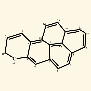 C1=Cc2c(cc3ccc4cccc5ccc2c3c45)OC1